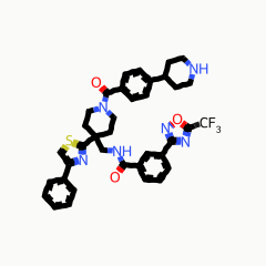 O=C(NCC1(c2nc(-c3ccccc3)cs2)CCN(C(=O)c2ccc(C3CCNCC3)cc2)CC1)c1cccc(-c2noc(C(F)(F)F)n2)c1